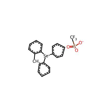 Cc1ccccc1[Se+](c1ccccc1)c1ccccc1.O=S(=O)([O-])C(F)(F)F